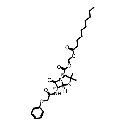 CCCCCCCCCC(=O)OCOC(=O)[C@@H]1N2C(=O)[C@@H](NC(=O)COc3ccccc3)[C@H]2SC1(C)C